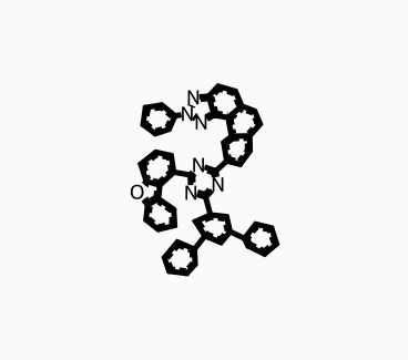 c1ccc(-c2cc(-c3ccccc3)cc(-c3nc(-c4ccc5ccc6ccc7nn(-c8ccccc8)nc7c6c5c4)nc(-c4cccc5oc6ccccc6c45)n3)c2)cc1